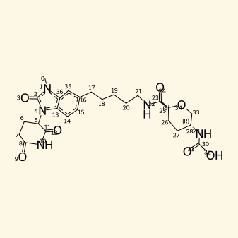 Cn1c(=O)n(C2CCC(=O)NC2=O)c2ccc(CCCCCNC(=O)[C@@H]3CC[C@@H](NC(=O)O)CO3)cc21